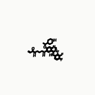 C=CC(=O)NCCCNc1cc2c(Nc3ccc(F)c(F)c3F)ncnc2cc1OC(C)C1CCNCC1